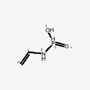 C=CN[PH](=O)O